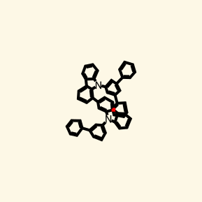 c1ccc(-c2cccc(-n3c4ccccc4c4ccc(-c5cccc6c7ccccc7n(-c7cc(-c8ccccc8)cc(-c8ccccc8)c7)c56)cc43)c2)cc1